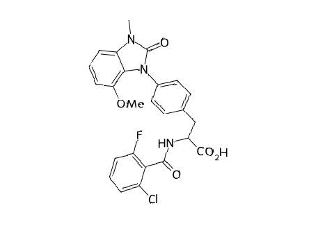 COc1cccc2c1n(-c1ccc(CC(NC(=O)c3c(F)cccc3Cl)C(=O)O)cc1)c(=O)n2C